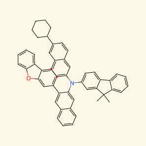 CC1(C)c2ccccc2-c2ccc(N(c3ccc4cc(C5CCCCC5)ccc4c3)c3cc4ccccc4cc3-c3ccc4c(c3)oc3ccccc34)cc21